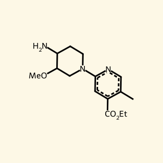 CCOC(=O)c1cc(N2CCC(N)C(OC)C2)ncc1C